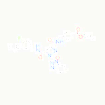 COC(=O)c1ccc(CNC(=O)c2cc(C(=O)NCc3ccc(F)c(C)c3)nc(On3nnc4ccccc43)n2)cc1